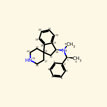 C[C@@H](c1ccccc1)N(C)[C@H]1CC2(CCNCC2)c2ccccc21